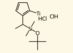 CC(C1=[C]([Ti])CC=C1)[Si](C)(C)OC(C)(C)C.Cl.Cl